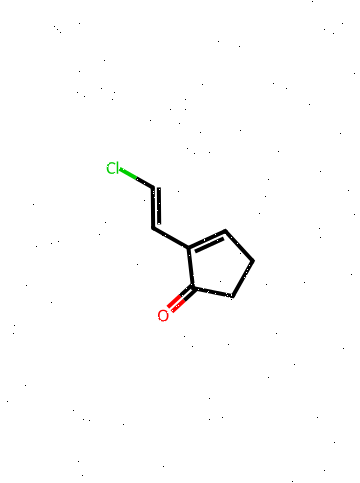 O=C1CCC=C1C=CCl